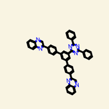 c1ccc(-c2nc(-c3ccccc3)nc(-c3cc(-c4ccc(-c5cnc6ccccc6n5)cc4)cc(-c4ccc(-c5cnc6ccccc6n5)cc4)c3)n2)cc1